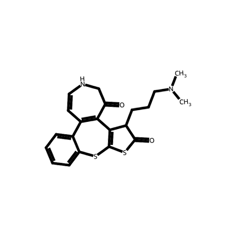 CN(C)CCCC1C(=O)SC2=C1C1=C(C=CNCC1=O)c1ccccc1S2